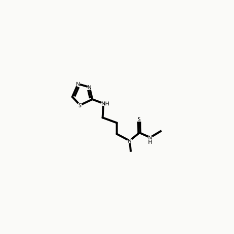 CNC(=S)N(C)CCCNc1nncs1